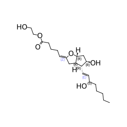 CCCCC[C@H](O)/C=C/[C@@H]1[C@H]2C/C(=C/CCCC(=O)OCCO)O[C@@H]2C[C@H]1O